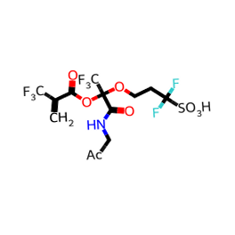 C=C(C(=O)OC(OCCC(F)(F)S(=O)(=O)O)(C(=O)NCC(C)=O)C(F)(F)F)C(F)(F)F